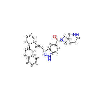 O=C(c1ccc2[nH]nc(C#Cc3ccccc3-c3ccc4ccccc4c3)c2c1)N1CC2(CCCNC2)C1